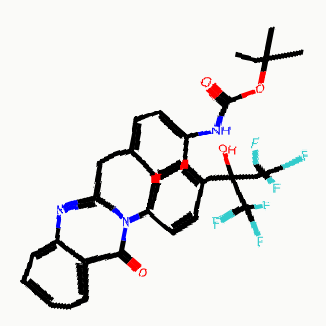 CC(C)(C)OC(=O)Nc1ccc(Cc2nc3ccccc3c(=O)n2-c2ccc(C(O)(C(F)(F)F)C(F)(F)F)cc2)cc1